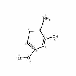 CCOC1=CCC(N)C(O)=C1